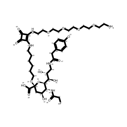 NCCOCCOCCOCCOCCNc1c(NCCCCCCO[C@]2(C(=O)O)C[C@H](O)[C@@H](NC(=O)CF)[C@H]([C@H](O)[C@H](O)CNC(=O)Cc3ccc(Cl)cc3)O2)c(=O)c1=O